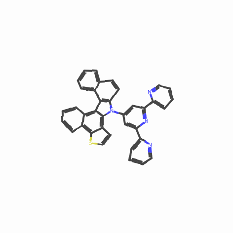 c1ccc(-c2cc(-n3c4ccc5ccccc5c4c4c5ccccc5c5sccc5c43)cc(-c3ccccn3)n2)nc1